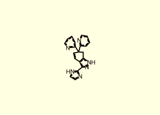 C1=CC(c2ccccn2)(c2ccccn2)Cc2[nH]nc(-c3ncc[nH]3)c21